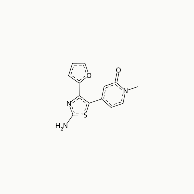 Cn1ccc(-c2sc(N)nc2-c2ccco2)cc1=O